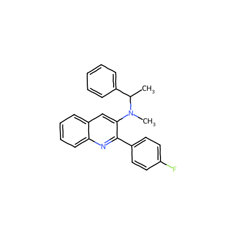 CC(c1ccccc1)N(C)c1cc2ccccc2nc1-c1ccc(F)cc1